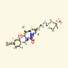 COc1cccc(CC#Cc2cn3c(=O)n(Cc4ccc(Br)cc4)c(=O)c(C)c3s2)c1